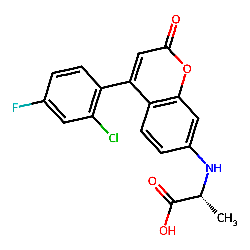 C[C@@H](Nc1ccc2c(-c3ccc(F)cc3Cl)cc(=O)oc2c1)C(=O)O